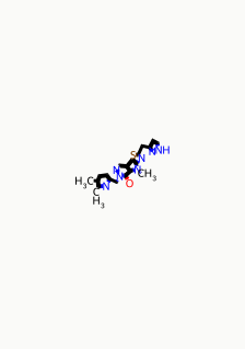 Cc1ccc(Cn2ncc3c4sc(Cc5cc[nH]n5)nc4n(C)c3c2=O)nc1C